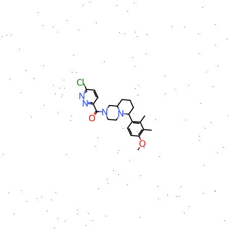 COc1ccc(C2CCCC3CN(C(=O)c4ccc(Cl)nn4)CCN32)c(C)c1C